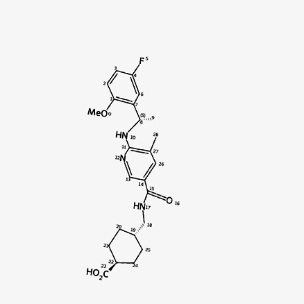 COc1ccc(F)cc1[C@H](C)Nc1ncc(C(=O)NC[C@H]2CC[C@H](C(=O)O)CC2)cc1C